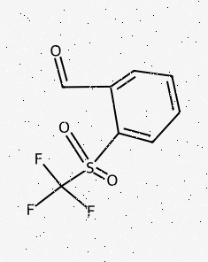 O=Cc1ccccc1S(=O)(=O)C(F)(F)F